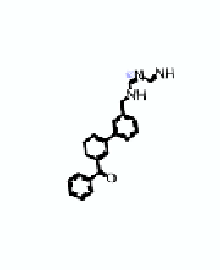 N=C/N=C\NCc1cccc(C2=CCCC(C(=O)c3ccccc3)=C2)c1